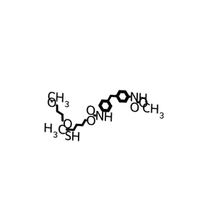 COCCCCOC(C)(S)CCCCOC(=O)Nc1ccc(Cc2ccc(NC(=O)OC)cc2)cc1